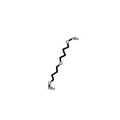 CCCCOCCCCOCCCCOCCCC